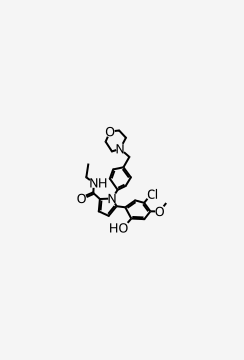 CCNC(=O)c1ccc(-c2cc(Cl)c(OC)cc2O)n1-c1ccc(CN2CCOCC2)cc1